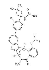 CN1C(=O)c2cccc(OC(F)F)c2[C@H]2C[C@@H]1c1nc3ccc(-c4cnc(C5(N[S+]([O-])C(C)(C)C)CC(O)(C(F)(F)F)C5)c(F)c4)cc3n12